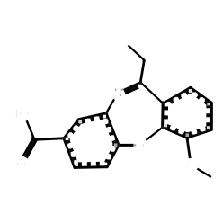 CCC1=Nc2cc(C(=O)O)ccc2Oc2c(OC)cccc21